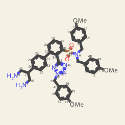 COc1ccc(CN(Cc2ccc(OC)cc2)S(=O)(=O)c2cccc(-c3ccc(C(CN)CN)cc3)c2-c2nnn(Cc3ccc(OC)cc3)n2)cc1